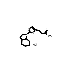 COC(=O)CCc1cnc(N2CCC3CCCCC32)s1.Cl